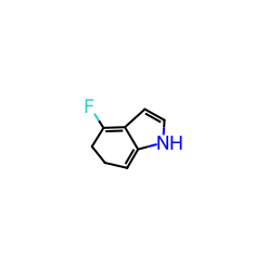 FC1=c2cc[nH]c2=CCC1